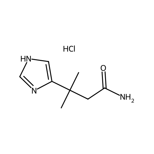 CC(C)(CC(N)=O)c1c[nH]cn1.Cl